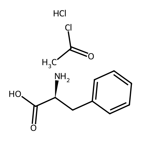 CC(=O)Cl.Cl.N[C@@H](Cc1ccccc1)C(=O)O